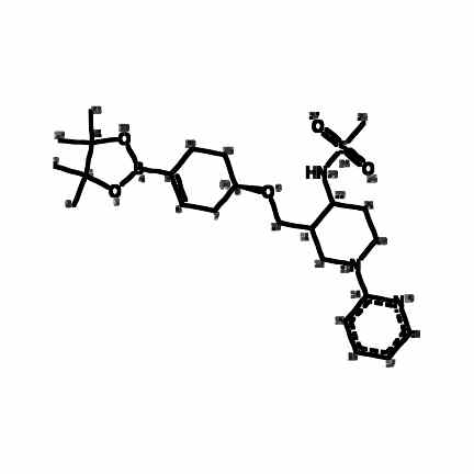 CC1(C)OB(C2=CC[C@H](OCC3CN(c4ccccn4)CCC3NS(C)(=O)=O)CC2)OC1(C)C